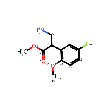 COC(=O)C(CN)c1cc(F)ccc1OC